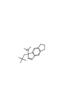 [CH3][Hf]([CH3])[C]1(CC(C)(C)C)C=Cc2cc3c(cc21)CCC3